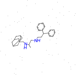 CC(CNCCC(c1ccccc1)c1ccccc1)NCC12CC3CC(CC(C3)C1)C2